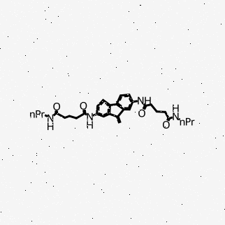 C=C1c2cc(NC(=O)CCCC(=O)NCCC)ccc2-c2ccc(NC(=O)CCCC(=O)NCCC)cc21